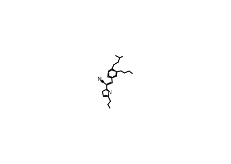 CCCCc1cc(/C=C(\C#N)C2=NC(CCC)=CC2)ccc1CCC(C)C